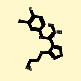 Cl.NCCOc1nonc1/C(=N/O)Nc1ccc(F)c(Br)c1